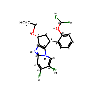 O=C(O)CO[C@@H]1C[C@H](c2ccccc2OC(F)F)c2c1nc1cc(F)c(Br)cn21